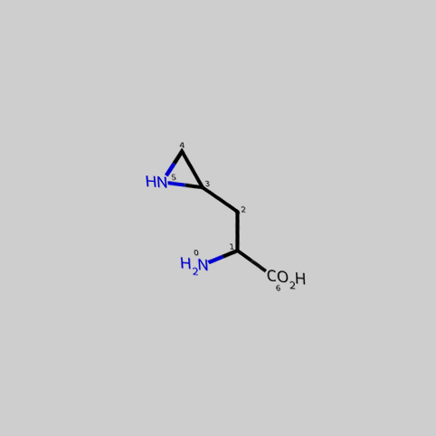 NC(CC1CN1)C(=O)O